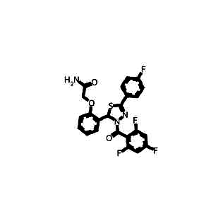 NC(=O)COc1ccccc1C1SC(c2ccc(F)cc2)=NN1C(=O)c1c(F)cc(F)cc1F